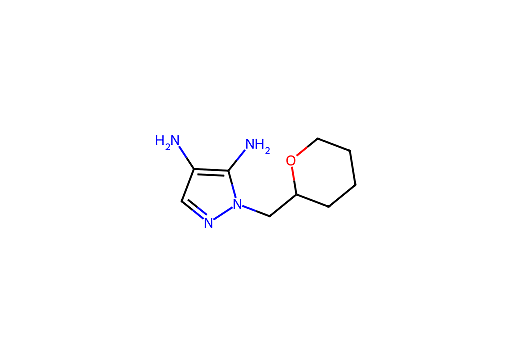 Nc1cnn(CC2CCCCO2)c1N